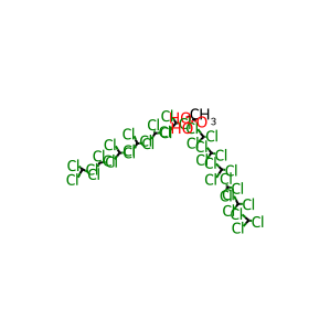 CO.ClC(Cl)Cl.ClC(Cl)Cl.ClC(Cl)Cl.ClC(Cl)Cl.ClC(Cl)Cl.ClC(Cl)Cl.ClC(Cl)Cl.ClC(Cl)Cl.ClC(Cl)Cl.ClC(Cl)Cl.ClC(Cl)Cl.ClC(Cl)Cl.O=CO